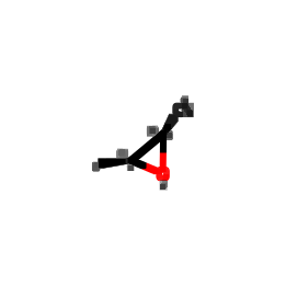 C[C@@H]1O[C@@H]1C#N